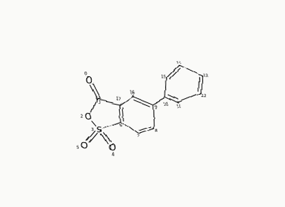 O=C1OS(=O)(=O)c2ccc(-c3ccccc3)cc21